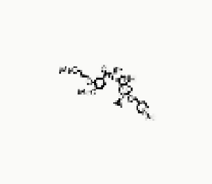 COCCCOc1cc(C(=O)N(C[C@@H]2CNC[C@H]2CN(C(=O)OCC2CCN(C(C)=O)CC2)C2CC2)C(C)C)ccc1OC